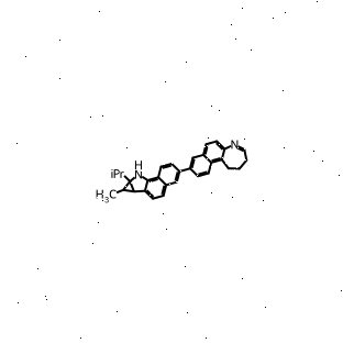 CC(C)C12Nc3c(ccc4cc(-c5ccc6c7c(ccc6c5)N=CCCC7)ccc34)C1C2C